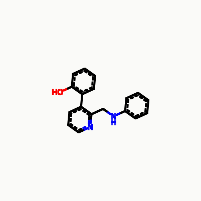 Oc1ccccc1-c1cccnc1CNc1ccccc1